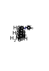 Cc1ccc(/C=C/c2ccc(O)c3c2C[C@H]2C[C@@H]4C(C(=O)C(C(N)=O)=C(O)[C@H]4N(C)C)C(O)=C2C3=O)cc1